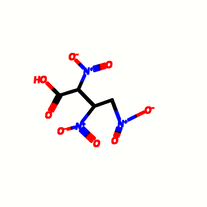 O=C(O)C(C(C[N+](=O)[O-])[N+](=O)[O-])[N+](=O)[O-]